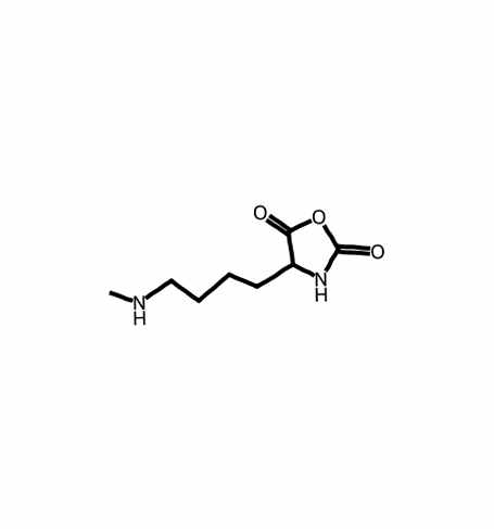 CNCCCCC1NC(=O)OC1=O